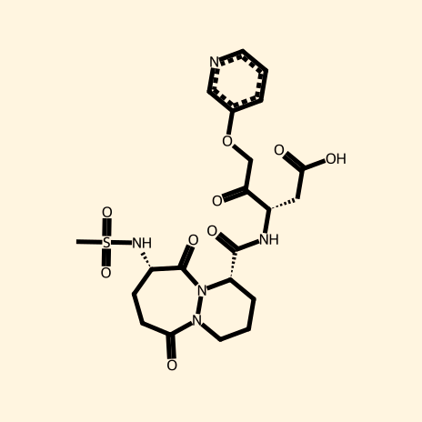 CS(=O)(=O)N[C@H]1CCC(=O)N2CCC[C@@H](C(=O)N[C@@H](CC(=O)O)C(=O)COc3cccnc3)N2C1=O